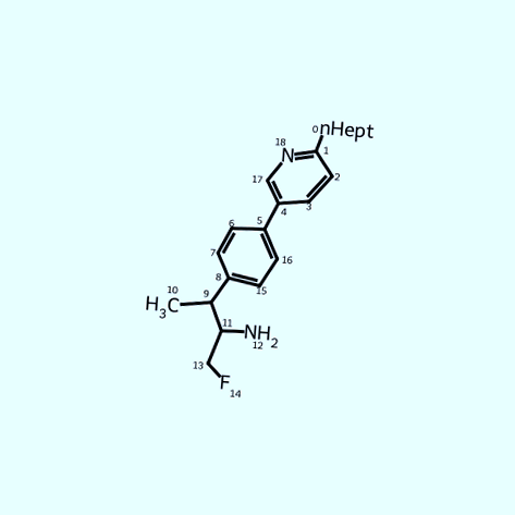 CCCCCCCc1ccc(-c2ccc(C(C)C(N)CF)cc2)cn1